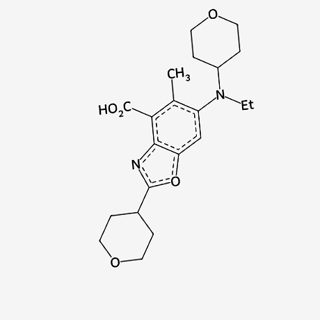 CCN(c1cc2oc(C3CCOCC3)nc2c(C(=O)O)c1C)C1CCOCC1